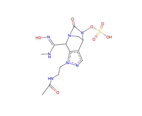 CN/C(=N\O)C1c2c(cnn2CCNC(C)=O)C2CN1C(=O)N2OS(=O)(=O)O